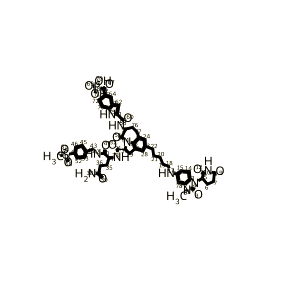 Cn1c(=O)n(C2CCC(=O)NC2=O)c2ccc(NCCCCCc3cc4c5c(c3)C[C@@H](C(=O)NC(CCC(N)=O)C(=O)NCc3ccc(S(C)(=O)=O)cc3)N5C(=O)[C@@H](NC(=O)c3cc5cc(C(=O)P(=O)(O)O)ccc5[nH]3)CC4)cc21